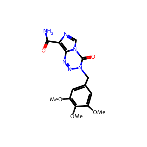 COc1cc(Cn2nnc3c(C(N)=O)ncn3c2=O)cc(OC)c1OC